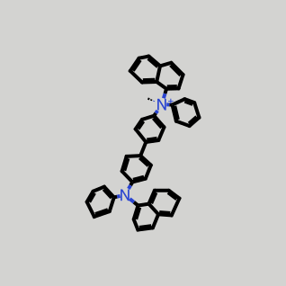 C[N@+](c1ccccc1)(c1ccc(-c2ccc(N(c3ccccc3)c3cccc4ccccc34)cc2)cc1)c1cccc2ccccc12